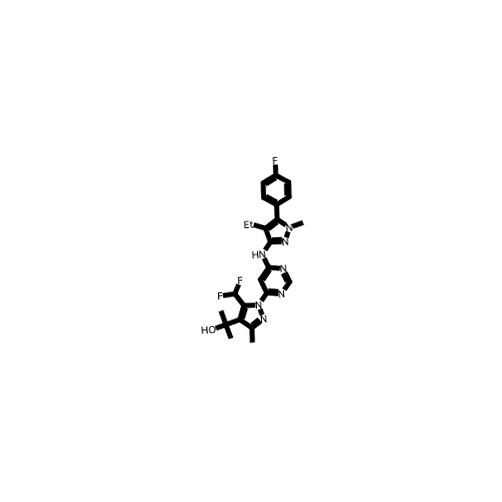 CCc1c(Nc2cc(-n3nc(C)c(C(C)(C)O)c3C(F)F)ncn2)nn(C)c1-c1ccc(F)cc1